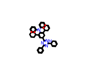 C1=CCC(C2=C(N(c3ccccc3)c3ccccc3)C(C3C=CCCC3)=CC(C3=NC(c4ccccc4)=NC(C4C=CC=CC4)N3)C2)C=C1